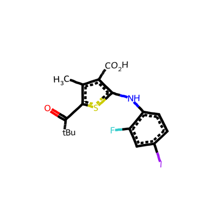 Cc1c(C(=O)C(C)(C)C)sc(Nc2ccc(I)cc2F)c1C(=O)O